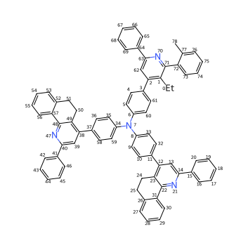 CCc1c(-c2ccc(N(c3ccc(-c4cc(-c5ccccc5)nc5c4CCc4ccccc4-5)cc3)c3ccc(-c4cc(-c5ccccc5)nc5c4CCc4ccccc4-5)cc3)cc2)cc(-c2ccccc2)nc1-c1ccccc1C